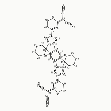 N#CC(C#N)=C1C=C(c2nc3c(s2)-c2cc4c(cc2C32CCCCC2)-c2sc(C3=CC(=C(C#N)C#N)CCC3)nc2C42CCCCC2)CCC1